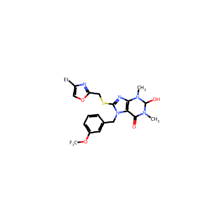 CCc1coc(CSc2nc3c(n2Cc2cccc(OC(F)(F)F)c2)C(=O)N(C)C(O)N3C)n1